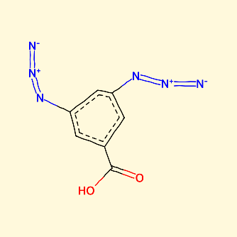 [N-]=[N+]=Nc1cc(N=[N+]=[N-])cc(C(=O)O)c1